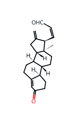 C=C1C[C@H]2[C@@H]3CCC4=CC(=O)CC[C@@H]4[C@H]3CC[C@]2(C)[C@@H]1/C=C\C=O